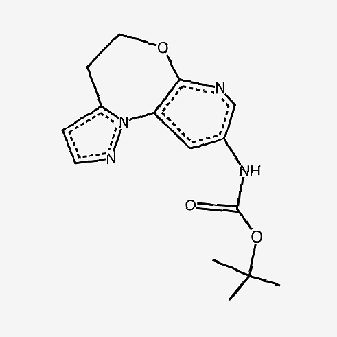 CC(C)(C)OC(=O)Nc1cnc2c(c1)-n1nccc1CCO2